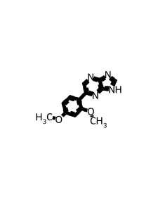 COc1ccc(-c2cnc3nc[nH]c3n2)c(OC)c1